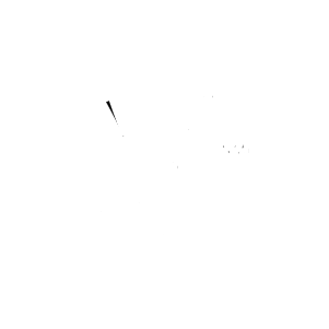 CNS(=O)(=O)C[C@]1(C)C=C(Cl)C=CC1